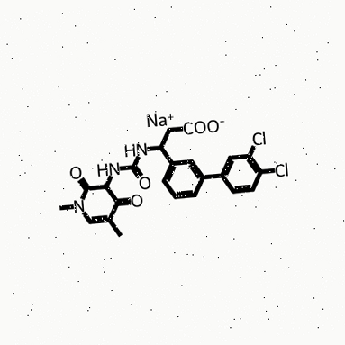 CC1=CN(C)C(=O)C(NC(=O)NC(CC(=O)[O-])c2cccc(-c3ccc(Cl)c(Cl)c3)c2)C1=O.[Na+]